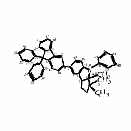 CC1(C)CCC2c3cc(-c4ccc5c(c4)-c4ccccc4C5(c4ccccc4)c4ccccc4)ccc3N(c3ccccc3)C21C